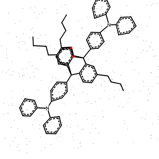 CCCCc1ccc2c(c1)C1(c3ccc(N(c4ccccc4)c4ccccc4)cc3)c3ccc(CCCC)cc3C2(c2ccc(N(c3ccccc3)c3ccccc3)cc2)c2cc(CCCC)ccc21